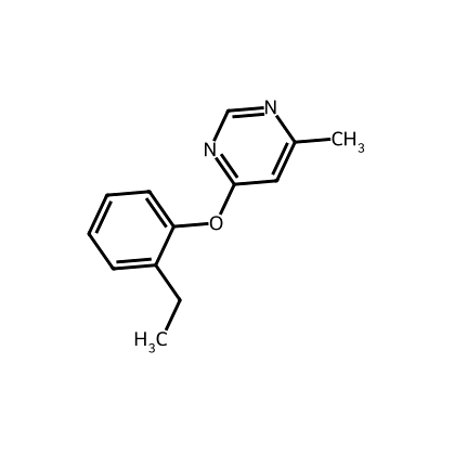 CCc1ccccc1Oc1cc(C)ncn1